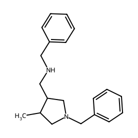 CC1CN(Cc2ccccc2)CC1CNCc1ccccc1